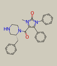 Cn1c(C(=O)N2CCNC[C@H]2Cc2ccccc2)c(-c2ccccc2)n(-c2ccccc2)c1=O